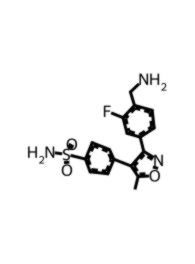 Cc1onc(-c2ccc(CN)c(F)c2)c1-c1ccc(S(N)(=O)=O)cc1